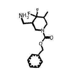 CC1CN(C(=O)OCc2ccccc2)CC(CN)C1(F)F